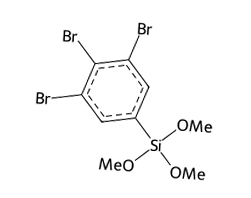 CO[Si](OC)(OC)c1cc(Br)c(Br)c(Br)c1